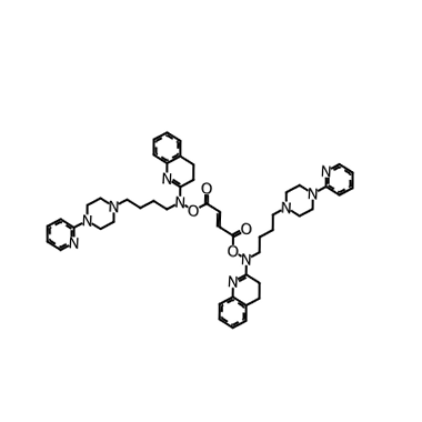 O=C(/C=C/C(=O)ON(CCCCN1CCN(c2ccccn2)CC1)C1=Nc2ccccc2CC1)ON(CCCCN1CCN(c2ccccn2)CC1)C1=Nc2ccccc2CC1